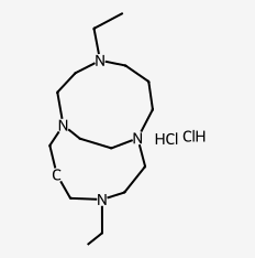 CCN1CCCN2CCN(CC)CCCN(CC1)CC2.Cl.Cl